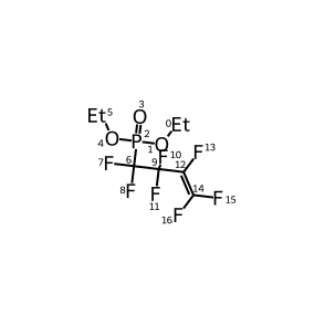 CCOP(=O)(OCC)C(F)(F)C(F)(F)C(F)=C(F)F